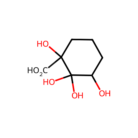 O=C(O)C1(O)CCCC(O)C1(O)O